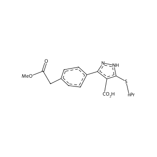 CCCSc1[nH]nc(-c2ccc(CC(=O)OC)cc2)c1C(=O)O